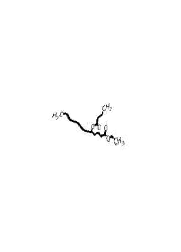 CCCCCC(CCCC(=O)OCC)OC(=O)CCC